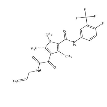 C=CCNC(=O)C(=O)c1c(C)c(C(=O)Nc2ccc(F)c(C(F)(F)F)c2)n(C)c1C